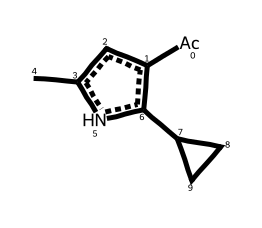 CC(=O)c1cc(C)[nH]c1C1CC1